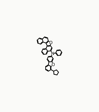 c1ccc(N(c2ccc3c(c2)oc2c(C4CCCC4)cccc23)c2cc3oc4ccc5ccccc5c4c3c3ccccc23)cc1